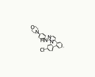 Clc1ccc(-c2c[c]ccc2-c2ccnc(Nc3ccc(N4CCOCC4)cc3)n2)cc1